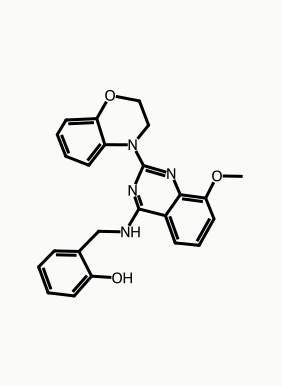 COc1cccc2c(NCc3ccccc3O)nc(N3CCOc4ccccc43)nc12